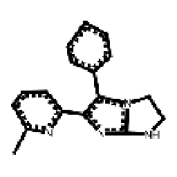 Cc1cccc(-c2nc3n(c2-c2ccccc2)CCN3)n1